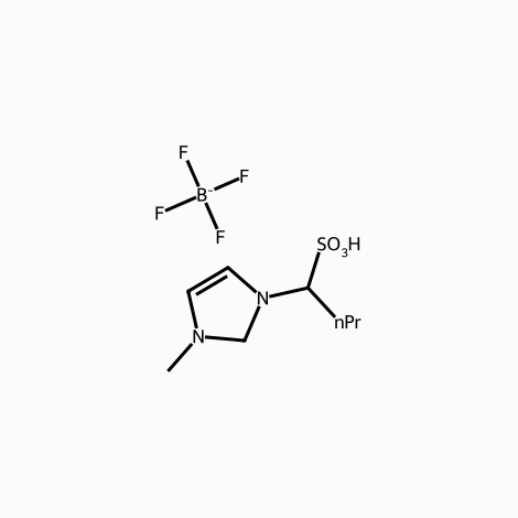 CCCC(N1C=CN(C)C1)S(=O)(=O)O.F[B-](F)(F)F